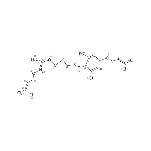 CCc1cc(OCC=C(Cl)Cl)cc(CC)c1OCCCCOC(C)=NOCC=C(Cl)Cl